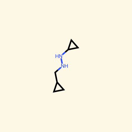 C1CC1CNNC1CC1